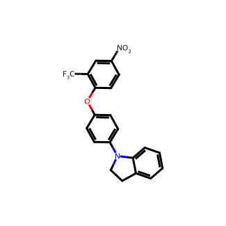 O=[N+]([O-])c1ccc(Oc2ccc(N3CCc4ccccc43)cc2)c(C(F)(F)F)c1